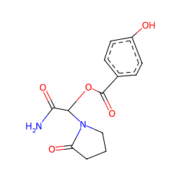 NC(=O)C(OC(=O)c1ccc(O)cc1)N1CCCC1=O